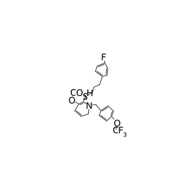 O=C(O)OC1=C(SCCCc2ccc(F)cc2)N(Cc2ccc(OC(F)(F)F)cc2)CC=C1